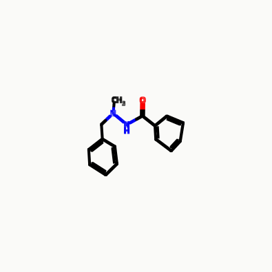 CN(Cc1ccccc1)NC(=O)c1ccccc1